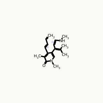 C=C/C=C/c1c(C(/C=C\NC)=C(C)C)cn(C)c(=O)c1C